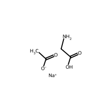 CC(=O)[O-].NCC(=O)O.[Na+]